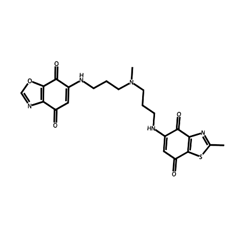 Cc1nc2c(s1)C(=O)C=C(NCCCN(C)CCCNC1=CC(=O)c3ncoc3C1=O)C2=O